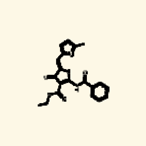 CCOC(=O)C1=C(NC(=O)c2ccccc2)S/C(=C\c2ccc(C)o2)C1=O